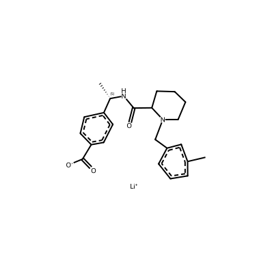 Cc1cccc(CN2CCCCC2C(=O)N[C@@H](C)c2ccc(C(=O)[O-])cc2)c1.[Li+]